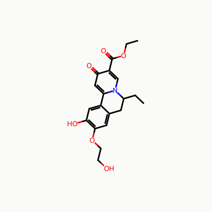 CCOC(=O)c1cn2c(cc1=O)-c1cc(O)c(OCCO)cc1CC2CC